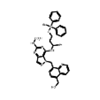 CCCC(CCO[Si](c1ccccc1)(c1ccccc1)C(C)(C)C)Nc1nc(NC(=O)O)nc2cnn(Cc3ccc(CO)c4cccnc34)c12